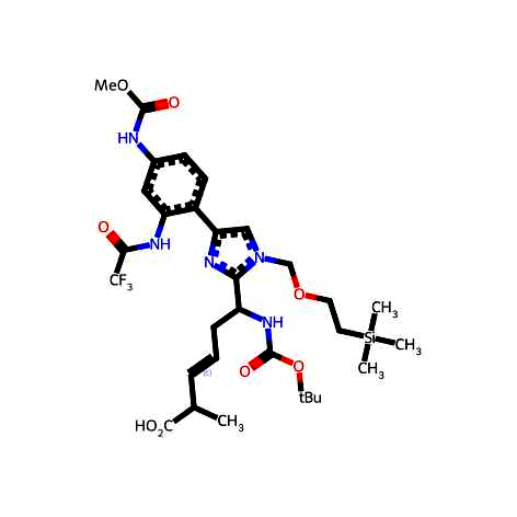 COC(=O)Nc1ccc(-c2cn(COCC[Si](C)(C)C)c(C(C/C=C/C(C)C(=O)O)NC(=O)OC(C)(C)C)n2)c(NC(=O)C(F)(F)F)c1